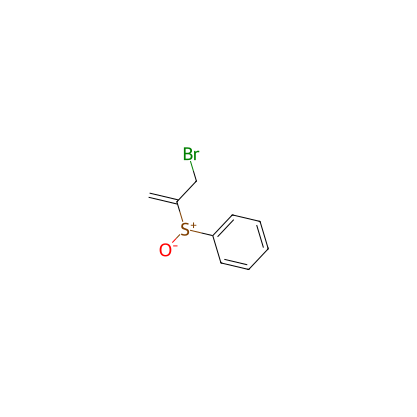 C=C(CBr)[S+]([O-])c1ccccc1